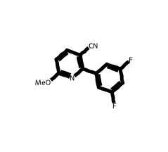 COc1ccc(C#N)c(-c2cc(F)cc(F)c2)n1